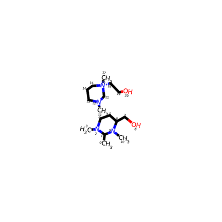 CC1N(C)CCC(CO)N1C.CN1CCC[N+](C)(CCO)C1